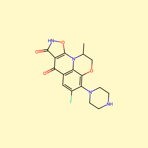 CC1COc2c(N3CCNCC3)c(F)cc3c(=O)c4c(=O)[nH]oc4n1c23